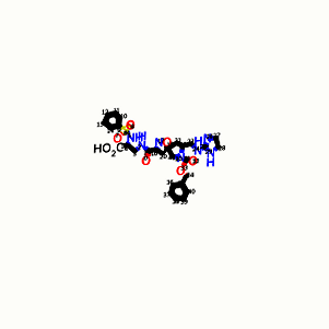 O=C(NCC(NS(=O)(=O)c1ccccc1)C(=O)O)C1=NO[C@]2(C1)CC(CNC1=NCCN1)N(C(=O)OCc1ccccc1)C2